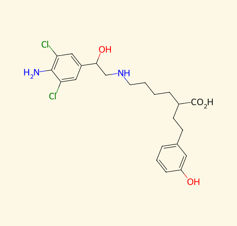 Nc1c(Cl)cc(C(O)CNCCCCC(CCc2cccc(O)c2)C(=O)O)cc1Cl